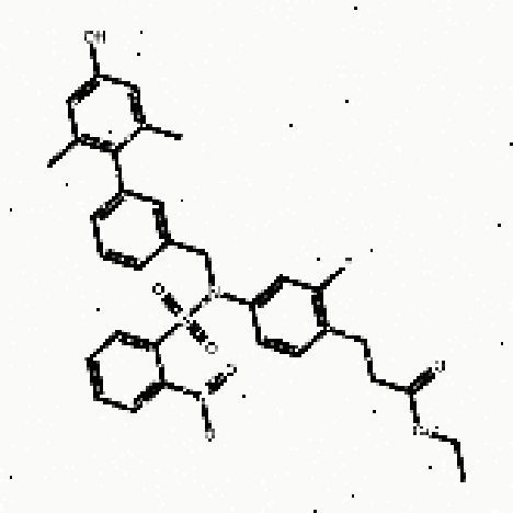 CCOC(=O)CCc1ccc(N(Cc2cccc(-c3c(C)cc(O)cc3C)c2)S(=O)(=O)c2ccccc2[N+](=O)[O-])cc1F